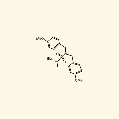 CC[C@@H](C)[C@H](C)S(=O)(=O)N(Cc1ccc(OC)cc1)Cc1ccc(OC)cc1